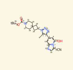 Cc1c(-c2cc(O)n3c(C#N)cnc3c2)nnn1C1CC2(CCN(C(=O)OC(C)(C)C)CC2)C1